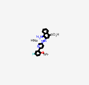 CCCOc1ccc(F)cc1-c1ccc(N=Nc2cc(S(=O)(=O)O)c3ccccc3c2N)cn1.[NaH]